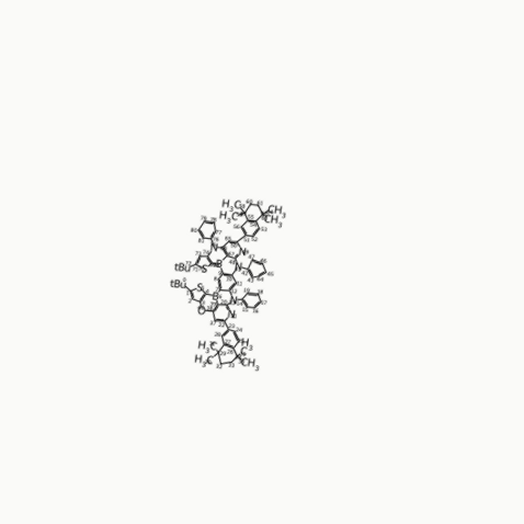 CC(C)(C)c1cc2c(s1)B1c3cc4c(cc3N(c3ccccc3)c3nc(-c5ccc6c(c5)C(C)(C)CCC6(C)C)cc(c31)O2)N(c1ccccc1)c1nc(-c2ccc3c(c2)C(C)(C)CCC3(C)C)cc2c1B4c1sc(C(C)(C)C)cc1N2c1ccccc1